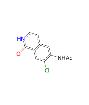 CC(=O)Nc1cc2cc[nH]c(=O)c2cc1Cl